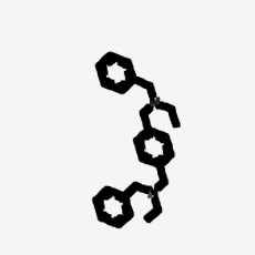 CCN(Cc1ccccc1)Cc1ccc(CN(CC)Cc2ccccc2)cc1